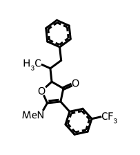 CNC1=C(c2cccc(C(F)(F)F)c2)C(=O)C(C(C)Cc2ccccc2)O1